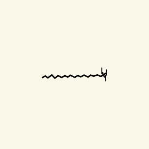 CCCCCCCCCCCCCCCCCCCC(I)(I)I